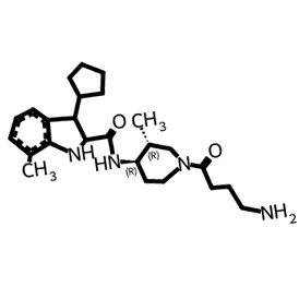 Cc1cccc2c1NC(C(=O)N[C@@H]1CCN(C(=O)CCCN)C[C@H]1C)C2C1CCCC1